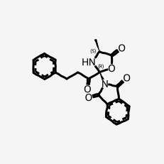 C[C@@H]1N[C@](C(=O)CCc2ccccc2)(N2C(=O)c3ccccc3C2=O)OC1=O